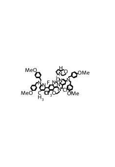 COc1ccc(CN(Cc2ccc(OC)cc2)c2cncc(C(C)N3CCOc4c(Cl)c(-c5nc(N(Cc6ccc(OC)cc6)Cc6ccc(OC)cc6)cc(C)c5C(F)(F)F)c(F)c5nc(OC[C@@H]6CC[C@H]7COCCN76)nc3c45)c2)cc1